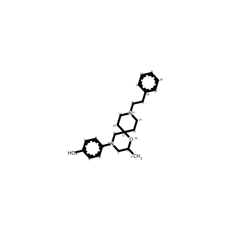 CC1CN(c2ccc(O)cc2)CC2(CCN(CCc3ccccc3)CC2)O1